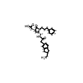 NCC1Cc2ccc(CC(=O)NC[C@@H]3C[C@@H](CC(=O)O)C(=O)N3CCCc3ccccc3)cc2C1